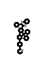 c1ccc(-c2nc3ccccc3nc2-c2ccc3c(c2)C(c2ccccc2)(c2ccccc2)c2cc(-c4ccc(-c5ccccn5)cc4)ccc2-3)cc1